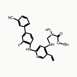 C=Cc1cnc(Nc2ccc(-c3cccc(C#N)c3)cc2F)cc1NCN(CCC)C(=O)OC(C)(C)C